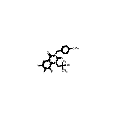 COc1ccc(Cn2c(=O)c3cc(F)c(F)c(F)c3n(CC(C)(C)O)c2=O)cc1